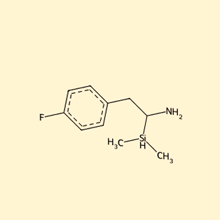 C[SiH](C)C(N)Cc1ccc(F)cc1